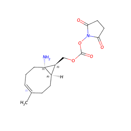 C/C1=C/CC[C@]2(N)[C@H](CC1)[C@@H]2COC(=O)ON1C(=O)CCC1=O